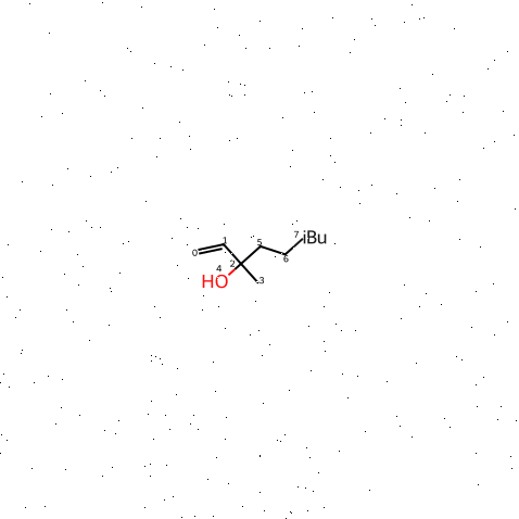 C=CC(C)(O)CCC(C)CC